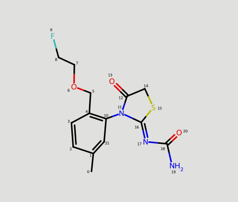 Cc1ccc(COCCF)c(N2C(=O)CSC2=NC(N)=O)c1